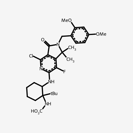 COc1ccc(CN2C(=O)c3c(Cl)nc(NC4CCCCC4(NC(=O)O)C(C)(C)C)c(F)c3C2(C)C)c(OC)c1